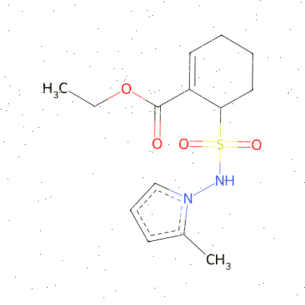 CCOC(=O)C1=CCCCC1S(=O)(=O)Nn1cccc1C